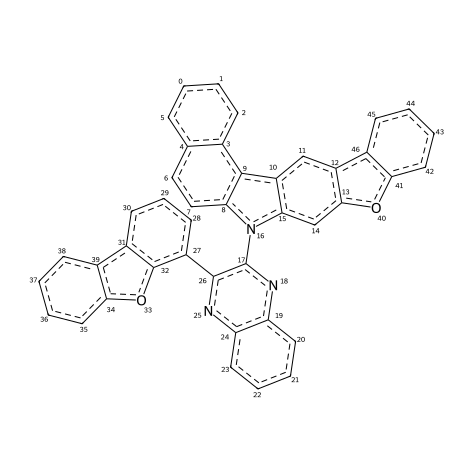 c1ccc2c(c1)ccc1c2c2cc3c(cc2n1-c1nc2ccccc2nc1-c1cccc2c1oc1ccccc12)oc1ccccc13